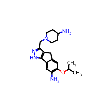 CC(C)Oc1cc2c(cc1N)-c1[nH]nc(CN3CCC(N)CC3)c1C2